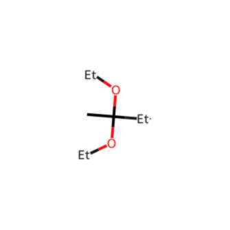 C[CH]C(C)(OCC)OCC